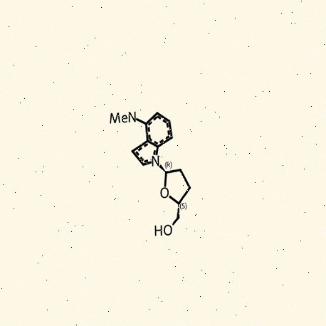 CNc1cccc2c1ccn2[C@H]1CC[C@@H](CO)O1